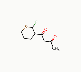 CC(=O)CC(=O)C1CCCSC1F